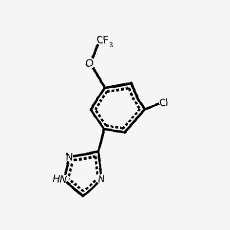 FC(F)(F)Oc1cc(Cl)cc(-c2nc[nH]n2)c1